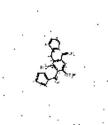 C=Cc1cc(C(=O)O)c(C(=O)c2ccccc2)c(C)c1Cc1ccccc1